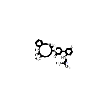 CC1CCCC(N2CCC(c3cc(Cl)ccc3N/C=C(\N)C(F)(F)F)=CC2=O)C(=O)NCc2ccccc2NC1=O